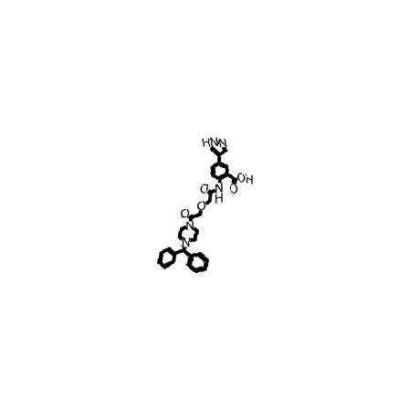 O=C(COCC(=O)N1CCN(C(c2ccccc2)c2ccccc2)CC1)Nc1ccc(-c2cn[nH]c2)cc1C(=O)O